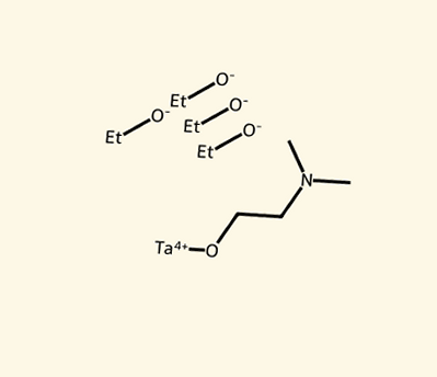 CC[O-].CC[O-].CC[O-].CC[O-].CN(C)CC[O][Ta+4]